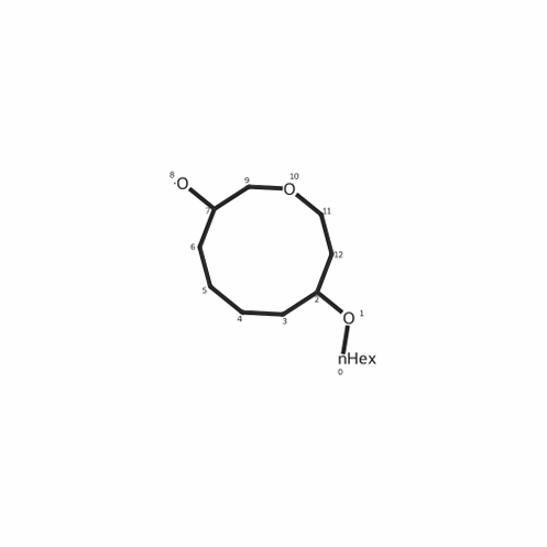 [CH2]CCCCCOC1CCCCC([O])COCC1